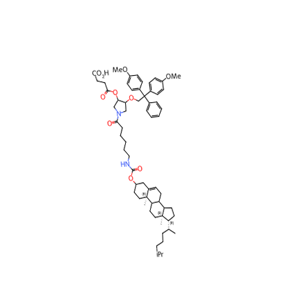 COc1ccc(C(COC2CN(C(=O)CCCCCNC(=O)OC3CC[C@@]4(C)C(=CCC5C4CC[C@@]4(C)C5CC[C@@H]4C(C)CCCC(C)C)C3)CC2OC(=O)CCC(=O)O)(c2ccccc2)c2ccc(OC)cc2)cc1